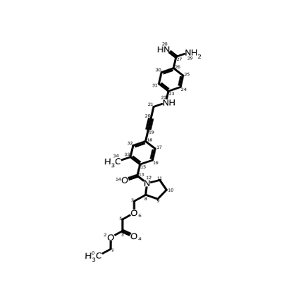 CCOC(=O)COCC1CCCN1C(=O)c1ccc(C#CCNc2ccc(C(=N)N)cc2)cc1C